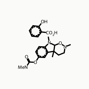 CNC(=O)Oc1ccc2c(c1)C1(C)CCN(C)OC1N2C.O=C(O)c1ccccc1O